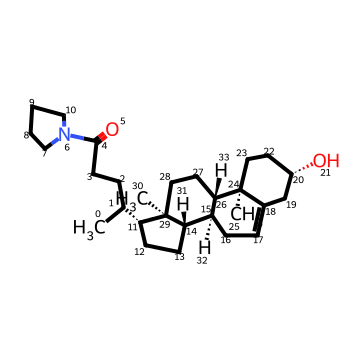 CC(CCC(=O)N1CCCC1)[C@H]1CC[C@H]2[C@@H]3CC=C4C[C@@H](O)CC[C@]4(C)[C@H]3CC[C@]12C